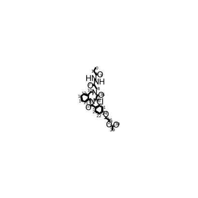 CCC(=O)NNC(=O)CN1Cc2ccccc2N(C(=O)c2ccc(OCCOC(C)=O)cc2Cl)CC1=O